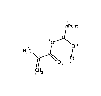 C=C(C)C(=O)OC(CCCCC)OCC